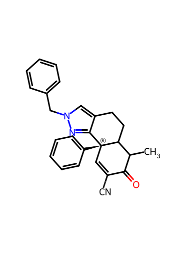 CC1C(=O)C(C#N)=C[C@]2(c3ccccc3)c3nn(Cc4ccccc4)cc3CCC12